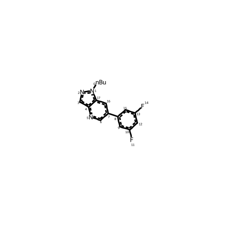 CCCCn1ncc2ncc(-c3cc(F)cc(F)c3)cc21